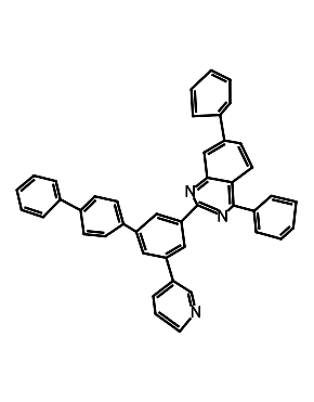 c1ccc(-c2ccc(-c3cc(-c4cccnc4)cc(-c4nc(-c5ccccc5)c5ccc(-c6ccccc6)cc5n4)c3)cc2)cc1